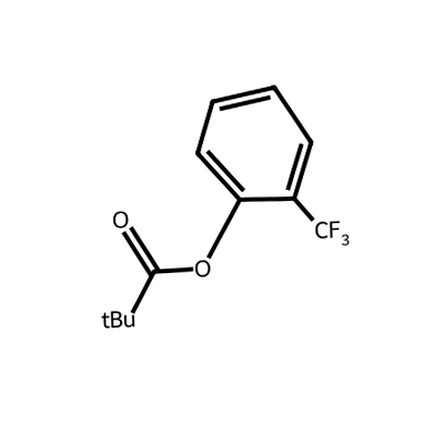 CC(C)(C)C(=O)Oc1ccccc1C(F)(F)F